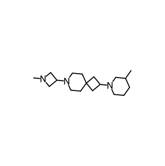 CC1CCCN(C2CC3(CCN(C4CN(C)C4)CC3)C2)C1